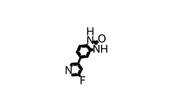 O=c1[nH]c2ccc(-c3cncc(F)c3)cc2[nH]1